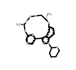 C[C@H]1CCOC[C@H](C)Oc2cncc(n2)-c2nn(C3CCCCO3)c3ccc(cc23)O1